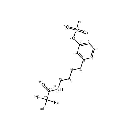 CS(=O)(=O)Oc1cccc(CCCCNC(=O)C(F)(F)F)c1